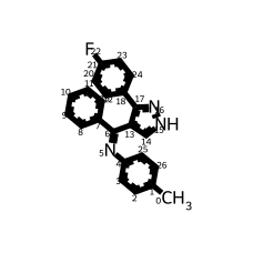 Cc1ccc(N=C(c2ccccc2)c2c[nH]nc2-c2ccc(F)cc2)cc1